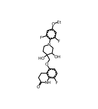 CCOc1cc(F)c(N2CCC(O)(COc3ccc(F)c4c3CCC(=O)N4)C(O)C2)c(F)c1